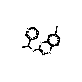 CC(NC1=NSc2ccc(F)cc2N1)c1cccnc1